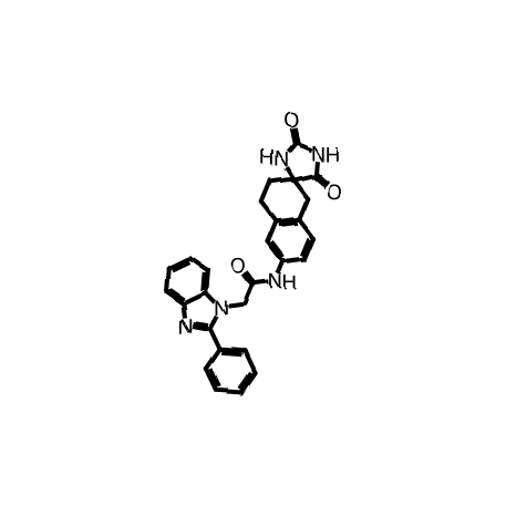 O=C(Cn1c(-c2ccccc2)nc2ccccc21)Nc1ccc2c(c1)CCC1(C2)NC(=O)NC1=O